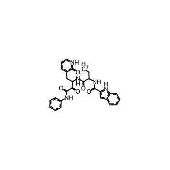 CCC(NC(=O)c1cc2ccccc2[nH]1)C(=O)NC(Cc1ccc[nH]c1=O)C(=O)C(=O)Nc1ccccc1